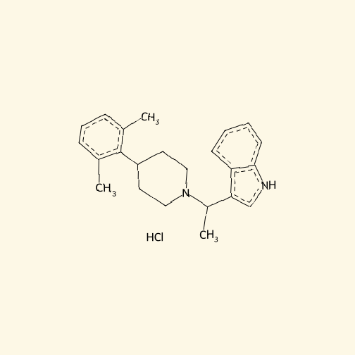 Cc1cccc(C)c1C1CCN(C(C)c2c[nH]c3ccccc23)CC1.Cl